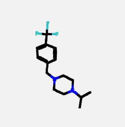 CC(C)N1CCN(Cc2ccc(C(F)(F)F)cc2)CC1